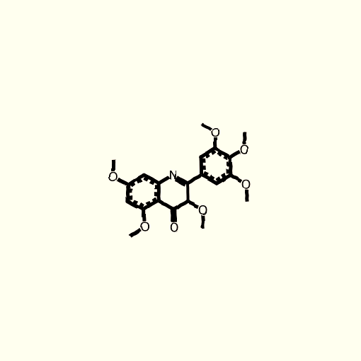 COc1cc2c(c(OC)c1)C(=O)C(OC)C(c1cc(OC)c(OC)c(OC)c1)=N2